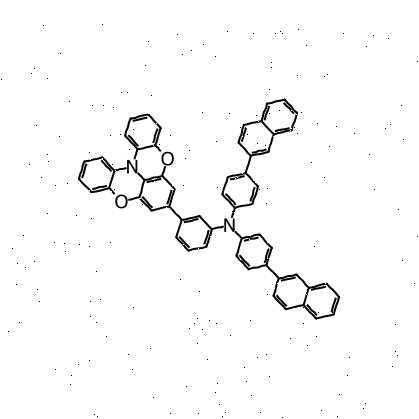 c1cc(-c2cc3c4c(c2)Oc2ccccc2N4c2ccccc2O3)cc(N(c2ccc(-c3ccc4ccccc4c3)cc2)c2ccc(-c3ccc4ccccc4c3)cc2)c1